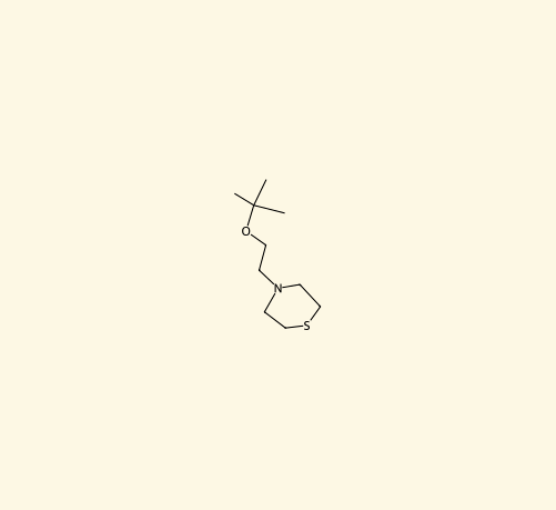 CC(C)(C)OCCN1CCSCC1